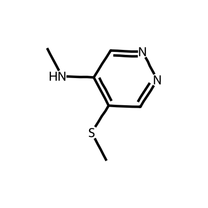 CNc1cnncc1SC